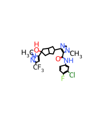 Cn1cnc(C2CC3CC(O)(c4cc(C(F)(F)F)nn4C)CC3C2)c1C(=O)Nc1ccc(F)c(Cl)c1